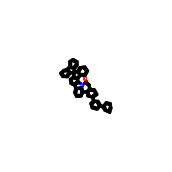 O=C1Cc2ccc(-c3cccc(-c4ccccc4)c3)cc2-c2cccc3c4ccc5c(c4n1c23)-c1ccccc1C51c2ccccc2-c2ccccc21